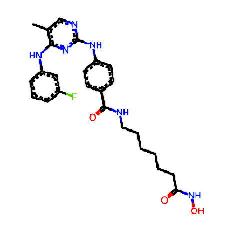 Cc1cnc(Nc2ccc(C(=O)NCCCCCCC(=O)NO)cc2)nc1Nc1cccc(F)c1